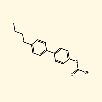 CCCSc1ccc(-c2ccc(OC(=O)O)cc2)cc1